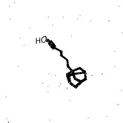 OC#CCCCCC12CC3CC(CC(C3)C1)C2